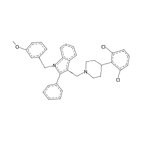 COc1cccc(Cn2c(-c3ccccc3)c(CN3CCC(c4c(Cl)cccc4Cl)CC3)c3ccccc32)c1